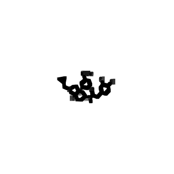 COc1cccc([C@@]23CCN(CC4CC4)C[C@H]2CC[C@@H](N(C)C(=O)Cc2ccc(Cl)c(Cl)c2)C3)c1